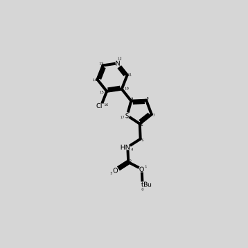 CC(C)(C)OC(=O)NCc1ccc(-c2cnccc2Cl)s1